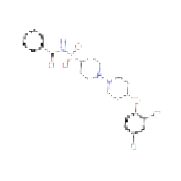 O=C(NS(=O)(=O)C1CCN(N2CCC(Oc3ccc(Cl)cc3Cl)CC2)CC1)c1ccccc1